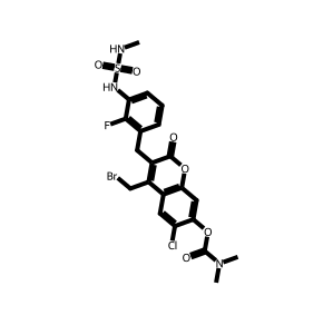 CNS(=O)(=O)Nc1cccc(Cc2c(CBr)c3cc(Cl)c(OC(=O)N(C)C)cc3oc2=O)c1F